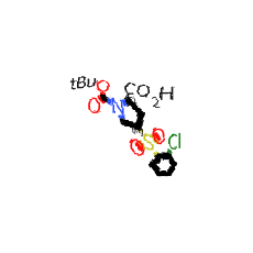 CC(C)(C)OC(=O)N1C[C@H](S(=O)(=O)c2ccccc2Cl)C[C@H]1C(=O)O